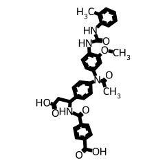 COc1cc(N(C(C)=O)c2ccc(C(CC(=O)O)NC(=O)c3ccc(C(=O)O)cc3)cc2)ccc1NC(=O)Nc1ccccc1C